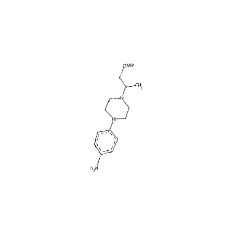 COCC(C)N1CCN(c2ccc(N)cc2)CC1